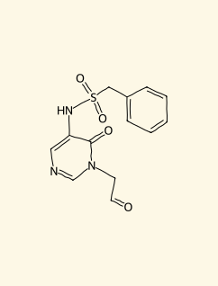 O=CCn1cncc(NS(=O)(=O)Cc2ccccc2)c1=O